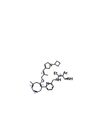 CC/C(NCc1cccc(/C2=C(\OC/C(C)=C/C3=CCN(C4CCC4)C3)C/C(C)=C\C=C/C2)n1)=C(/C=N)C(C)=O